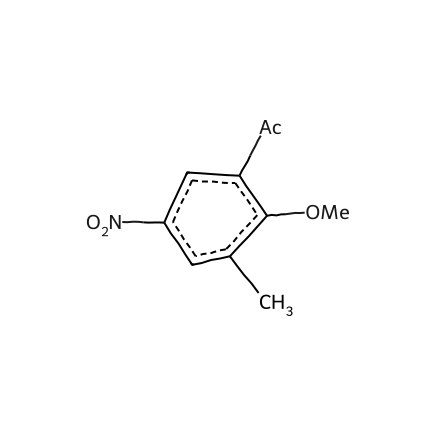 COc1c(C)cc([N+](=O)[O-])cc1C(C)=O